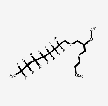 CCCOC(COCCOC)COCC(F)(F)C(F)(F)C(F)(F)C(F)(F)C(F)(F)C(F)(F)C(F)(F)C(F)(F)F